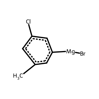 Cc1cc(Cl)c[c]([Mg][Br])c1